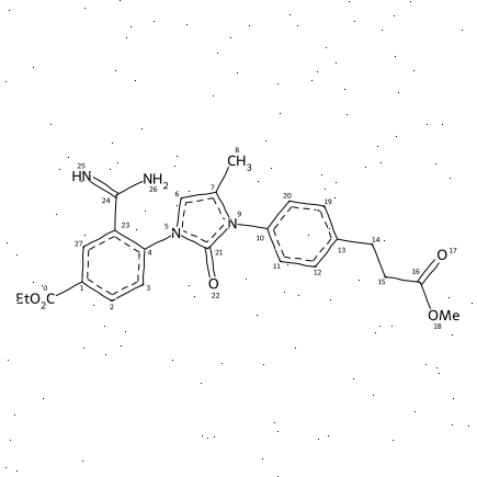 CCOC(=O)c1ccc(-n2cc(C)n(-c3ccc(CCC(=O)OC)cc3)c2=O)c(C(=N)N)c1